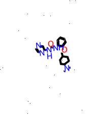 CN(C)C1CCC(COc2ccccc2NC(=O)Nc2cnccn2)CC1